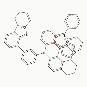 C1=Cc2sc3c(-c4cccc(N(c5ccccc5-c5cccc6cccc(C7CCCCC7)c56)c5cccc6c5c5ccccc5n6-c5ccccc5)c4)cccc3c2CC1